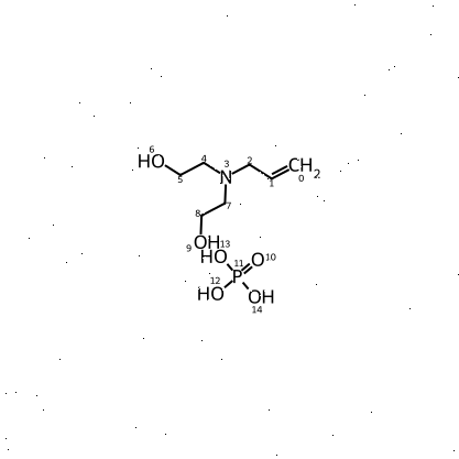 C=CCN(CCO)CCO.O=P(O)(O)O